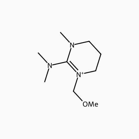 COC[N+]1=C(N(C)C)N(C)CCC1